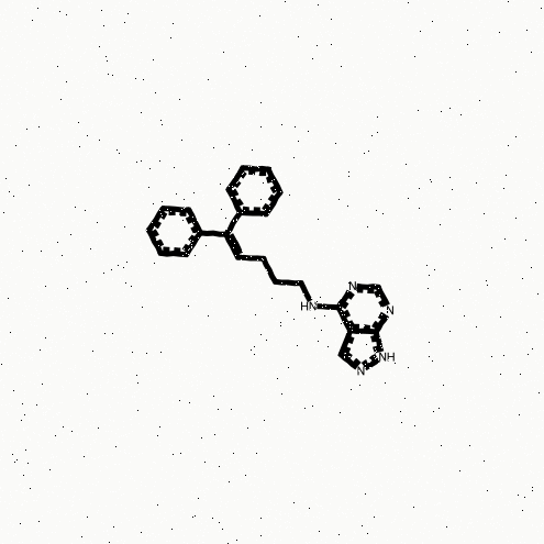 C(CCCNc1ncnc2[nH]ncc12)=C(c1ccccc1)c1ccccc1